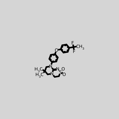 CC1(C)CN2CCS(=O)(=O)N=C2N(c2ccc(Oc3ccc(C(C)(F)F)cc3)cc2)C1